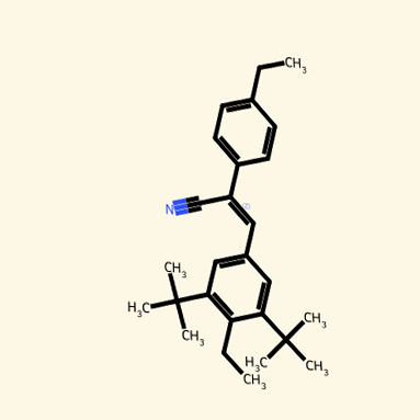 CCc1ccc(/C(C#N)=C/c2cc(C(C)(C)C)c(CC)c(C(C)(C)C)c2)cc1